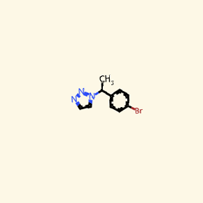 CC(c1ccc(Br)cc1)n1ccnn1